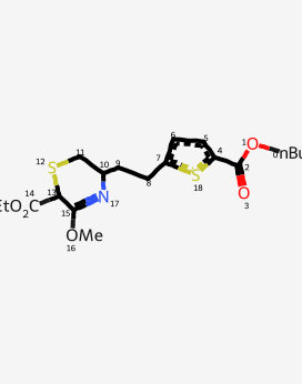 CCCCOC(=O)c1ccc(CCC2CSC(C(=O)OCC)C(OC)=N2)s1